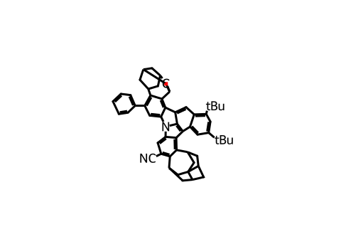 CC(C)(C)c1cc(C(C)(C)C)c2cc3c4c5c(c(-c6ccccc6)cc4n4c6cc(C#N)c7c(c6c(c2c1)c34)C1CC2CC3CC7CC32C1)C1CC2CC(C1)CC5C2